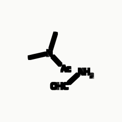 CC(=O)N(C)C.NC=O